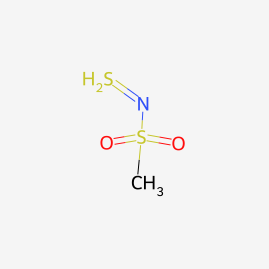 CS(=O)(=O)N=[SH2]